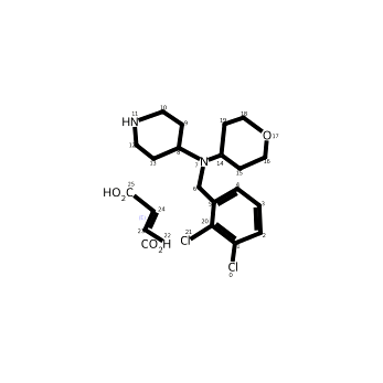 Clc1cccc(CN(C2CCNCC2)C2CCOCC2)c1Cl.O=C(O)/C=C/C(=O)O